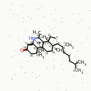 CC(C)CCC[C@@H](C)[C@H]1CC[C@H]2[C@@H]3C(C)NC4=CC(=O)CC[C@]4(C)[C@H]3CC[C@]12C